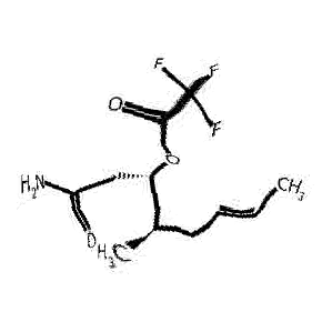 C/C=C/C[C@@H](C)[C@H](CC(N)=O)OC(=O)C(F)(F)F